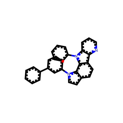 c1ccc(-c2cccc(-n3ccc4ccc5c6ncccc6n(-c6ccccc6)c5c43)c2)cc1